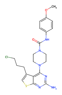 COc1ccc(NC(=O)N2CCN(c3nc(N)nc4scc(CCCCl)c34)CC2)cc1